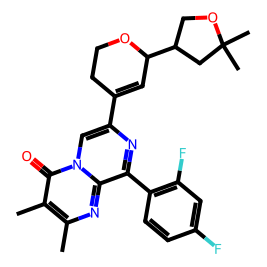 Cc1nc2c(-c3ccc(F)cc3F)nc(C3=CC(C4COC(C)(C)C4)OCC3)cn2c(=O)c1C